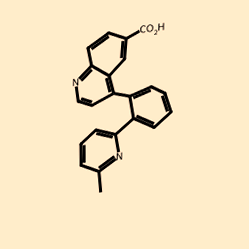 Cc1cccc(-c2ccccc2-c2ccnc3ccc(C(=O)O)cc23)n1